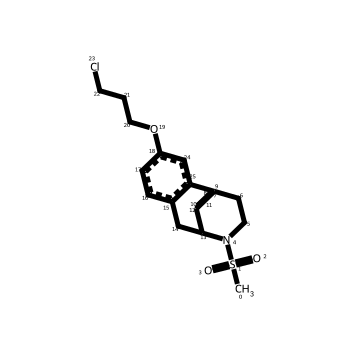 CS(=O)(=O)N1CCC23CCCCC2C1Cc1ccc(OCCCCl)cc13